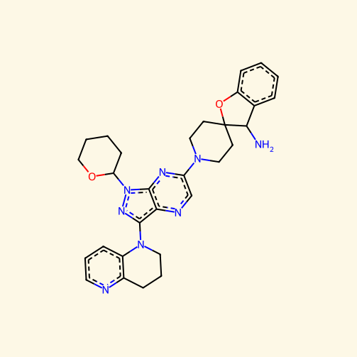 NC1c2ccccc2OC12CCN(c1cnc3c(N4CCCc5ncccc54)nn(C4CCCCO4)c3n1)CC2